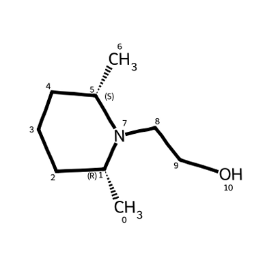 C[C@@H]1CCC[C@H](C)N1CCO